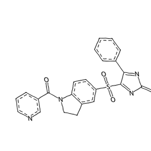 O=C1N=C(c2ccccc2)C(S(=O)(=O)c2ccc3c(c2)CCN3C(=O)c2cccnc2)=N1